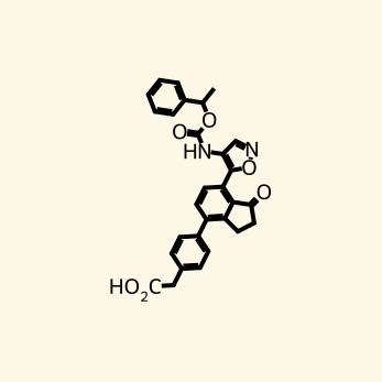 CC(OC(=O)Nc1cnoc1-c1ccc(-c2ccc(CC(=O)O)cc2)c2c1C(=O)CC2)c1ccccc1